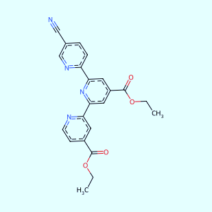 CCOC(=O)c1ccnc(-c2cc(C(=O)OCC)cc(-c3ccc(C#N)cn3)n2)c1